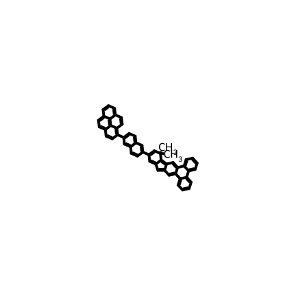 CC1(C)C=C(c2ccc3cc(-c4ccc5ccc6cccc7ccc4c5c67)ccc3c2)C=C2C=c3cc4c5ccccc5c5ccccc5c4cc3=C21